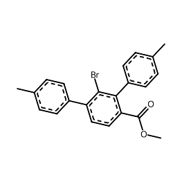 COC(=O)c1ccc(-c2ccc(C)cc2)c(Br)c1-c1ccc(C)cc1